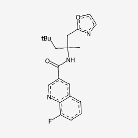 CC(C)(C)CC(C)(Cc1ncco1)NC(=O)c1cnc2c(F)cccc2c1